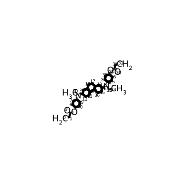 C=CC(=O)Oc1ccc(N(C)c2ccc3c(ccc4cc(N(CC)c5ccc(OC(=O)C=C)cc5)ccc43)c2)cc1